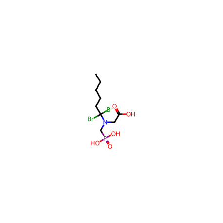 CCCCCC(Br)(Br)N(CC(=O)O)CP(=O)(O)O